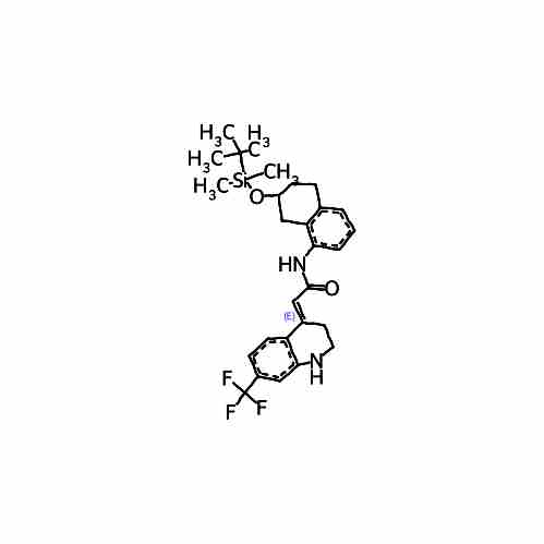 CC(C)(C)[Si](C)(C)OC1CCc2cccc(NC(=O)/C=C3\CCNc4cc(C(F)(F)F)ccc43)c2C1